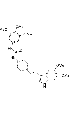 COc1cc2[nH]cc(CCN3CCN(NC(=O)Nc4cc(OC)c(OC)c(OC)c4)CC3)c2cc1OC